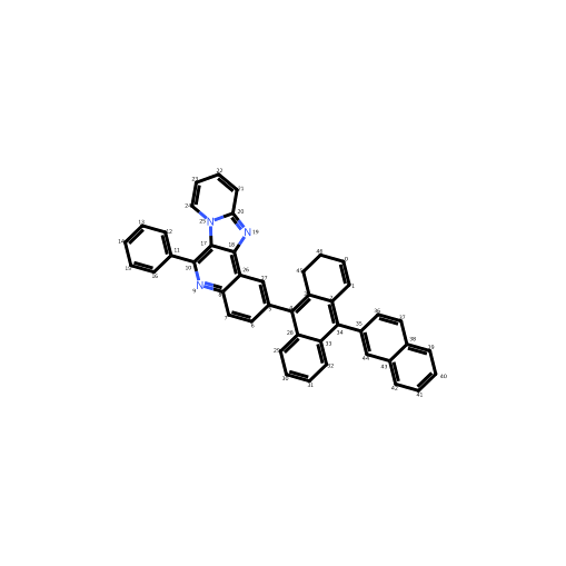 C1=Cc2c(c(-c3ccc4nc(-c5ccccc5)c5c(nc6ccccn65)c4c3)c3ccccc3c2-c2ccc3ccccc3c2)CC1